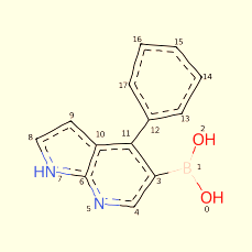 OB(O)c1cnc2[nH]ccc2c1-c1ccccc1